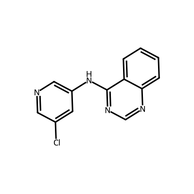 Clc1cncc(Nc2ncnc3ccccc23)c1